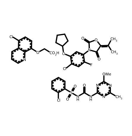 CC(C)=C1OC(=O)N(c2cc(OC3CCCC3)c(Cl)cc2F)C1=O.COc1nc(C)nc(NC(=O)NS(=O)(=O)c2ccccc2Cl)n1.O=C(O)COc1ccc(Cl)c2cccnc12